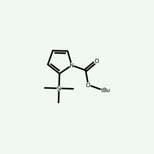 CC(C)(C)OC(=O)n1cccc1[Si](C)(C)C